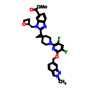 COC(=O)c1ccc2nc(C3CC34CCN(c3nc(OCc5ccc6cn(C)nc6c5)c(F)cc3F)CC4)n(C[C@@H]3CCO3)c2c1